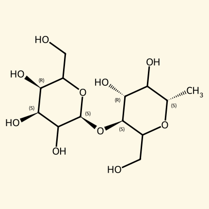 C[C@@H]1OC(CO)[C@@H](O[C@@H]2OC(CO)[C@H](O)[C@H](O)C2O)[C@H](O)C1O